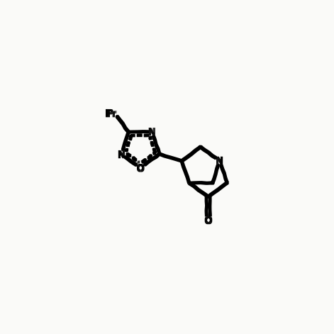 CC(C)c1noc(C2CN3CC(=O)C2C3)n1